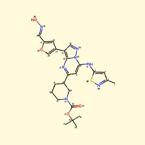 Cc1cc(Nc2cc(C3CCCN(C(=O)OC(C)(C)C)C3)nc3c(-c4coc(C=NO)c4)cnn23)sn1